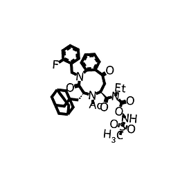 CCN(C(=O)ONS(C)(=O)=O)C(=O)[C@@H]1CC(=O)c2ccccc2N(Cc2ccccc2F)C(=O)[C@@H](CC23CC4CC(CC(C4)C2)C3)N1C(C)=O